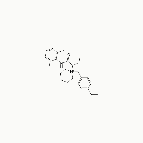 CCc1ccc(C[N+]2(C(CC)C(=O)Nc3c(C)cccc3C)CCCCC2)cc1